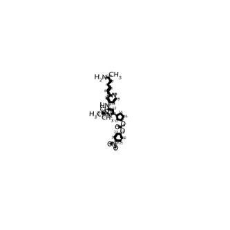 C[C@@H](N)CC/C=C/c1cc(Nc2cc([C@H]3CC[C@@H](OC(=O)Oc4ccc([N+](=O)[O-])cc4)C3)nn2C(C)(C)C)ccn1